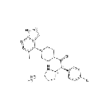 Cc1cnc2[nH]ncc2c1N1CCN(C(=O)[C@@H](c2ccc(Cl)cc2)[C@@H]2CCCN2)CC1.Cl.Cl